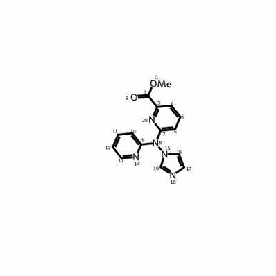 COC(=O)c1cccc(N(c2ccccn2)n2ccnc2)n1